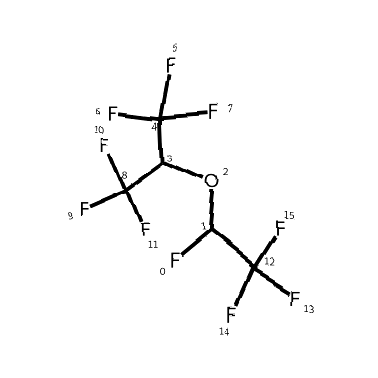 FC(OC(C(F)(F)F)C(F)(F)F)C(F)(F)F